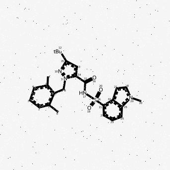 Cc1cccc(C)c1Cn1nc(C(C)(C)C)cc1C(=O)NS(=O)(=O)c1cccc2c1ccn2C